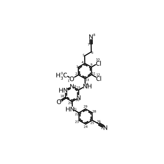 COc1cc(CCC#N)c(Cl)c(Cl)c1Nc1n[nH]c(=O)c(Nc2ccc(C#N)cc2)n1